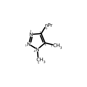 CCCc1nnn(C)c1C